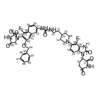 Cn1c(=O)n(C2CCC(=O)NC2=O)c2ccc(N3CCC(CCNC(=O)Nc4ccc5c(F)c(N6CC(=O)NS6(=O)=O)c(OCc6ccccc6)cc5c4)CC3)c(F)c21